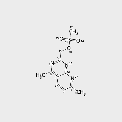 Cc1ccc2c(C)nc(COS(C)(=O)=O)nc2n1